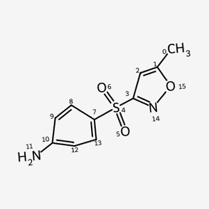 Cc1cc(S(=O)(=O)c2ccc(N)cc2)no1